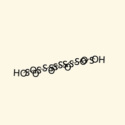 O=C(CSCCSCC[S+]([O-])CSCCSCSC(=O)CSCCSCCOOCCSCO)OCCSCO